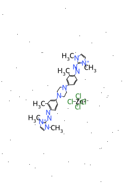 Cc1cc(N2CCN(c3ccc(/N=N/c4n(C)cc[n+]4C)c(C)c3)CC2)ccc1/N=N/c1n(C)cc[n+]1C.[Cl][Zn-2]([Cl])([Cl])[Cl]